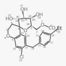 CCOC(=O)OC[C@H]1OC2(CCOc3cc(Cl)c(Cc4ccc(CC)cc4)cc32)[C@H](O)[C@@H](O)[C@H]1O